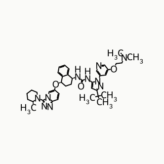 C[C@H]1CCCCN1c1nnc2ccc(O[C@@H]3CC[C@H](NC(=O)Nc4cc(C(C)(C)C)nn4-c4cncc(OCCN(C)C)c4)c4ccccc43)cn12